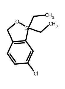 CC[Si]1(CC)OCc2ccc(Cl)cc21